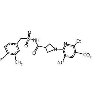 CCOC(=O)c1cc(C#N)c(N2CC(C(=O)NS(=O)(=O)Cc3ccc(F)c(C)c3)C2)nc1CC